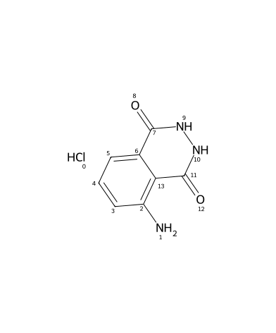 Cl.Nc1cccc2c(=O)[nH][nH]c(=O)c12